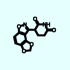 O=C1CCC(c2noc3ccc4c(c23)OCO4)C(=O)N1